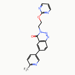 O=c1c2cc(-c3ccc(C(F)(F)F)nc3)ccc2nnn1CCOc1ncccn1